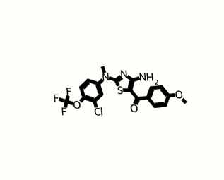 COc1ccc(C(=O)c2sc(N(C)c3ccc(OC(F)(F)F)c(Cl)c3)nc2N)cc1